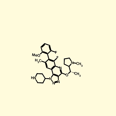 COc1cccc(F)c1-c1c(C)cc2c(nc(O[C@@H](C)C3CCCN3C)c3nnn(C4CCNCC4)c32)c1F